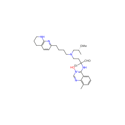 CCC(C=O)(CCN(CCCCc1ccc2c(n1)NCCC2)C[C@@H](C)OC)Nc1c2cccc(C)c2nc[n+]1O